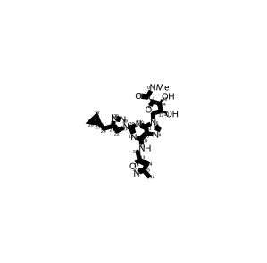 CNC(=O)[C@H]1OC(n2cnc3c(NCc4cc(C)no4)nc(-n4cc(CC5CC5)nn4)nc32)[C@H](O)[C@@H]1O